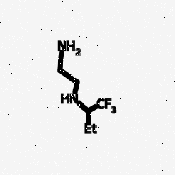 CCC(NCCN)C(F)(F)F